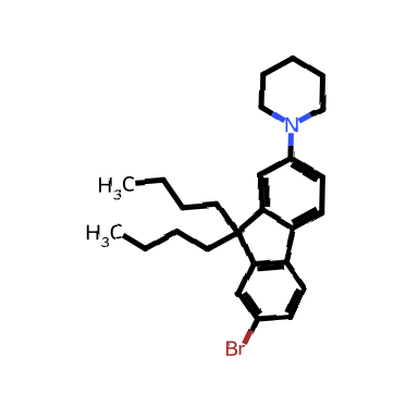 CCCCC1(CCCC)c2cc(Br)ccc2-c2ccc(N3CCCCC3)cc21